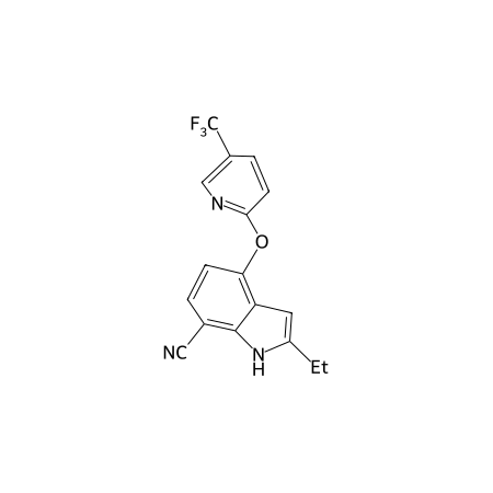 CCc1cc2c(Oc3ccc(C(F)(F)F)cn3)ccc(C#N)c2[nH]1